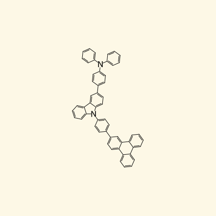 c1ccc(N(c2ccccc2)c2ccc(-c3ccc4c(c3)c3ccccc3n4-c3ccc(-c4ccc5c6ccccc6c6ccccc6c5c4)cc3)cc2)cc1